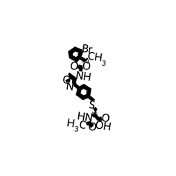 CC(=O)N[C@@H](CSCc1ccc(-c2nocc2NC(=O)O[C@H](C)c2ccccc2Br)cc1)C(=O)O